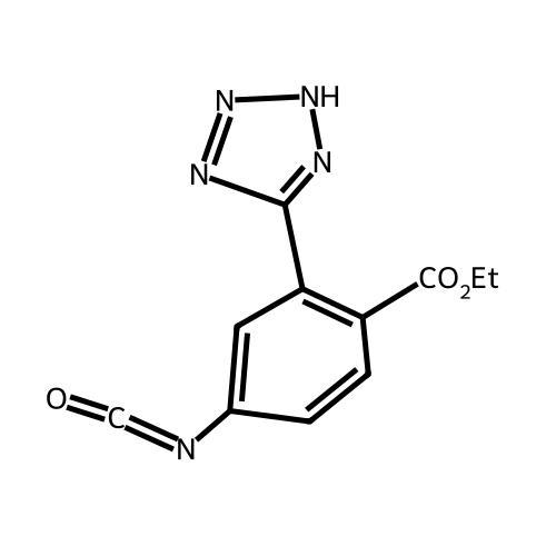 CCOC(=O)c1ccc(N=C=O)cc1-c1nn[nH]n1